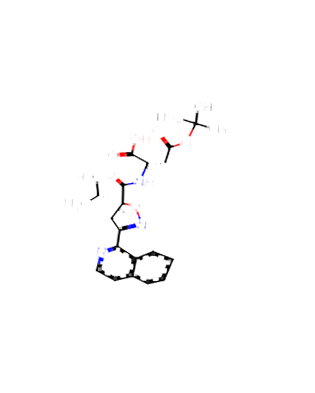 CC(C)[C@@]1(C(=O)N[C@@H](CC(=O)OC(C)(C)C)C(=O)O)CC(c2nccc3ccccc23)=NO1